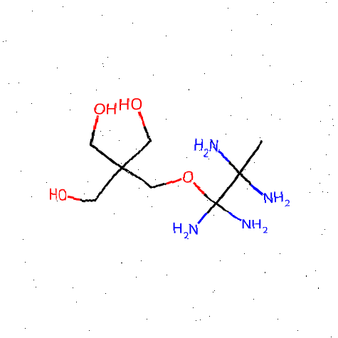 CC(N)(N)C(N)(N)OCC(CO)(CO)CO